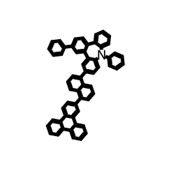 c1ccc(-c2ccc3c(c2)-c2cc(-c4cccc5c(-c6ccc7c8ccccc8c8ccccc8c7c6)cccc45)ccc2N(c2ccccc2)c2ccccc2-3)cc1